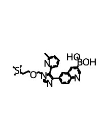 Cc1cccc(-c2c(-c3ccc4ncc(B(O)O)cc4c3)ncn2COCC[Si](C)(C)C)n1